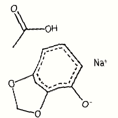 CC(=O)O.[Na+].[O-]c1cccc2c1OCO2